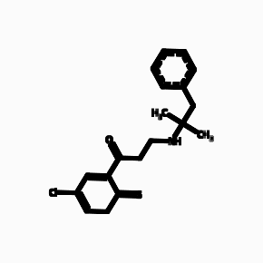 CC(C)(Cc1ccccc1)NCCC(=O)C1=CC(Cl)=CCC1=S